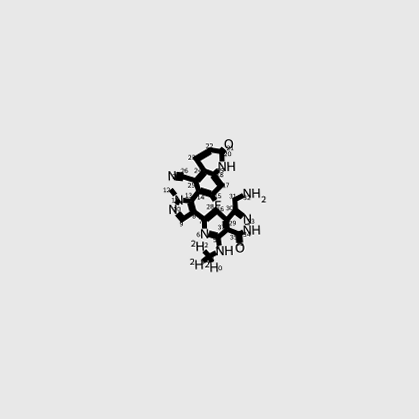 [2H]C([2H])([2H])Nc1nc(-c2cnn(C)c2-c2c(F)cc3[nH]c(=O)ccc3c2C#N)cc2c(CN)n[nH]c(=O)c12